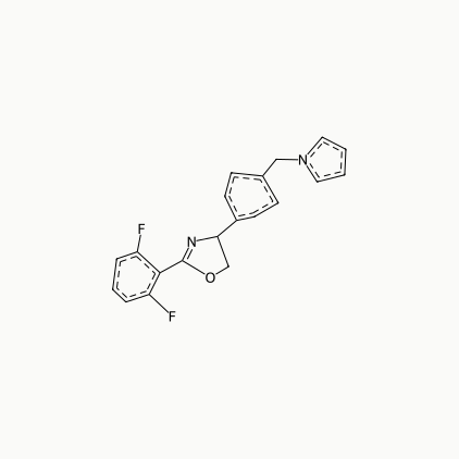 Fc1cccc(F)c1C1=NC(c2ccc(Cn3cccc3)cc2)CO1